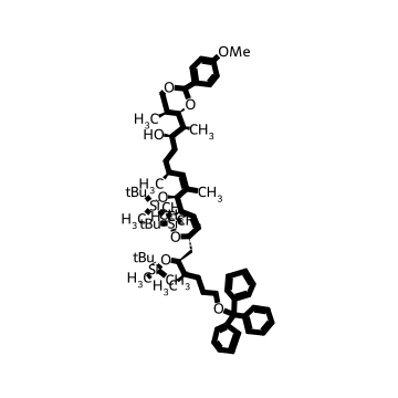 COc1ccc(C2OC[C@H](C)[C@@H]([C@@H](C)[C@H](O)CC[C@H](C)C=C(C)[C@H](O[Si](C)(C)C(C)(C)C)[C@@H](C)/C=C\[C@H](C[C@H](O[Si](C)(C)C(C)(C)C)[C@H](C)CCCOC(c3ccccc3)(c3ccccc3)c3ccccc3)O[Si](C)(C)C(C)(C)C)O2)cc1